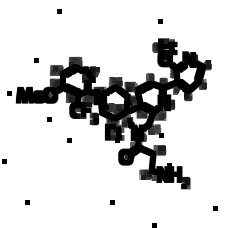 CCOc1ncccc1-c1ccc2c(n1)CN(C(=O)CCN)C[C@]21CCN(c2nccc(OC)c2C(F)(F)F)C[C@H]1CC